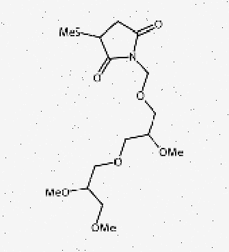 COCC(COCC(COCN1C(=O)CC(SC)C1=O)OC)OC